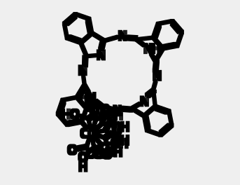 O=[C](O)[Cu]([C](=O)O)([C](=O)O)([C](=O)O)([C](=O)O)([C](=O)O)([C](=O)O)([C](=O)O)[c]1cccc2c3nc4nc(nc5[nH]c(nc6nc(nc([nH]3)c12)-c1ccccc1-6)c1ccccc51)-c1ccccc1-4